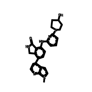 Cn1ccc2c(-c3ccc(Nc4cccc(N5CCC(O)CC5)n4)c4c3CNC4=O)ccnc21